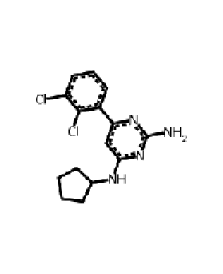 Nc1nc(NC2CCCC2)cc(-c2cccc(Cl)c2Cl)n1